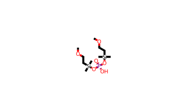 COCC[Si](C)(C)OP(=O)(O)O[Si](C)(C)CCOC